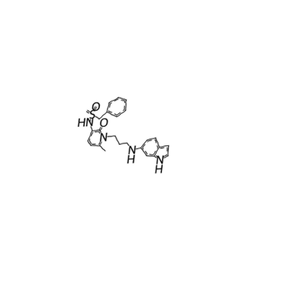 C=S(=O)(Cc1ccccc1)Nc1ccc(C)n(CCCNc2ccc3cc[nH]c3c2)c1=O